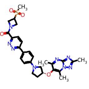 Cc1nc2nc(C)c(O[C@@H]3CCN(c4ccc(-c5ccc(C(=O)N6CC(S(C)(=O)=O)C6)nn5)cc4)C3)c(C)n2n1